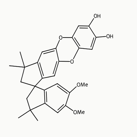 COc1cc2c(cc1OC)C1(CC2(C)C)CC(C)(C)c2cc3c(cc21)Oc1cc(O)c(O)cc1O3